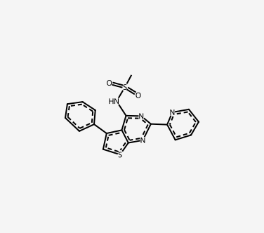 CS(=O)(=O)Nc1nc(-c2ccccn2)nc2scc(-c3ccccc3)c12